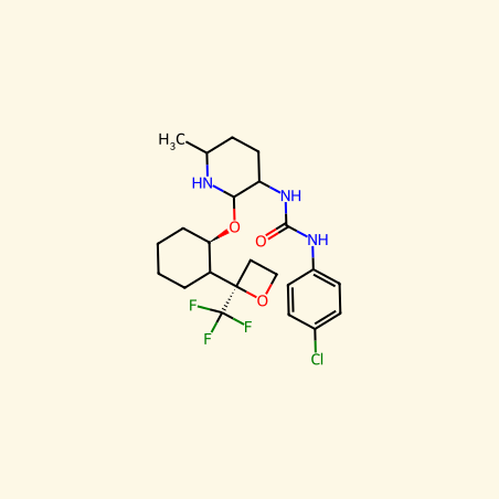 CC1CCC(NC(=O)Nc2ccc(Cl)cc2)C(O[C@@H]2CCCCC2[C@@]2(C(F)(F)F)CCO2)N1